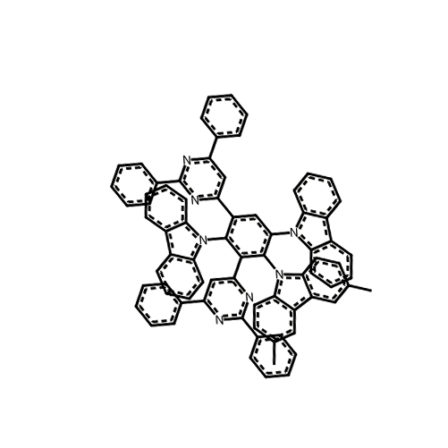 Cc1ccc2c(c1)c1cc(C)ccc1n2-c1c(-n2c3ccccc3c3ccccc32)cc(-c2cc(-c3ccccc3)nc(-c3ccccc3)n2)c(-n2c3ccccc3c3ccccc32)c1-c1cc(-c2ccccc2)nc(-c2ccccc2)n1